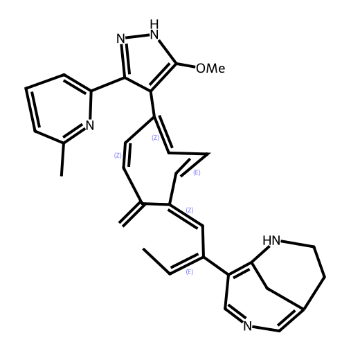 C=C1\C=C/C(c2c(-c3cccc(C)n3)n[nH]c2OC)=C/C=C/C1=C/C(=C\C)C1=C2CC(=CN=C1)CCN2